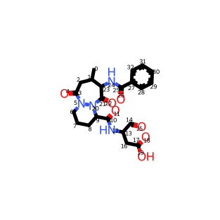 CC1CC(=O)N2CCCC(C(=O)NC(C=O)CC(=O)O)N2C(=O)C1NC(=O)c1ccccc1